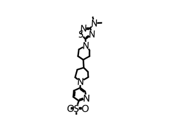 CN(C)c1nsc(N2CCC(C3CCN(c4ccc(S(C)(=O)=O)nc4)CC3)CC2)n1